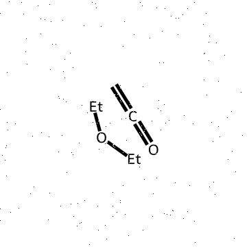 C=C=O.CCOCC